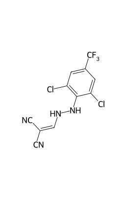 N#CC(C#N)=CNNc1c(Cl)cc(C(F)(F)F)cc1Cl